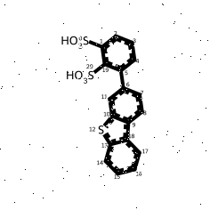 O=S(=O)(O)c1cccc(-c2ccc3c(c2)sc2ccccc23)c1S(=O)(=O)O